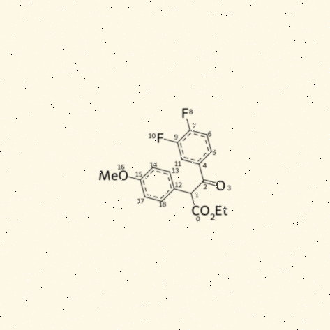 CCOC(=O)C(C(=O)c1ccc(F)c(F)c1)c1ccc(OC)cc1